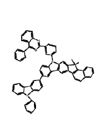 CC1(C)c2cc3c(cc2-c2ccc4ccccc4c21)c1cc(-c2ccc4c(c2)c2ccccc2n4-c2ccccc2)ccc1n3-c1cccc(-c2nc(-c3ccccc3)c3ccccc3n2)c1